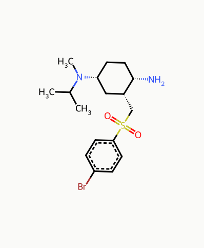 CC(C)N(C)[C@@H]1CC[C@H](N)[C@H](CS(=O)(=O)c2ccc(Br)cc2)C1